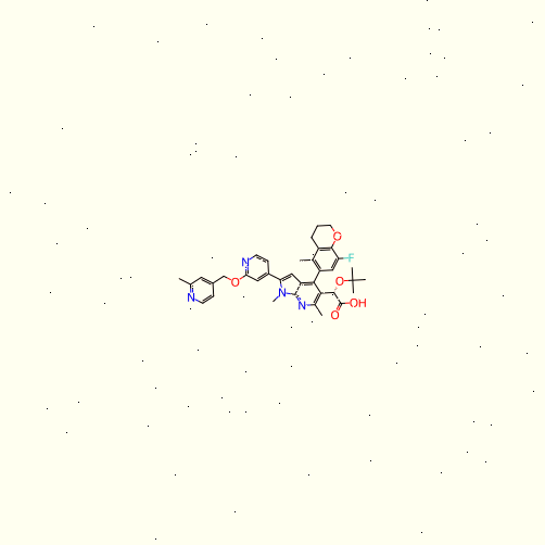 Cc1cc(COc2cc(-c3cc4c(-c5cc(F)c6c(c5C)CCCO6)c([C@H](OC(C)(C)C)C(=O)O)c(C)nc4n3C)ccn2)ccn1